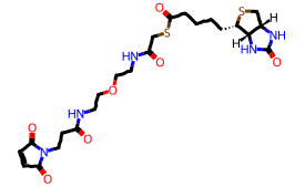 O=C(CCN1C(=O)C=CC1=O)NCCOCCNC(=O)CSC(=O)CCCC[C@@H]1SC[C@@H]2NC(=O)N[C@@H]21